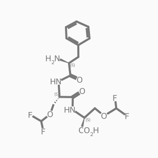 N[C@@H](Cc1ccccc1)C(=O)N[C@@H](COC(F)F)C(=O)N[C@@H](COC(F)F)C(=O)O